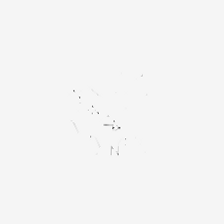 CSc1ncc2ccc3ncc(C4CCCC4)n3c2n1